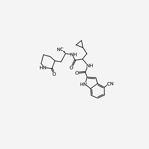 N#Cc1cccc2[nH]c(C(=O)NC(CC3CC3)C(=O)N[C@H](C#N)CC3CCCNC3=O)cc12